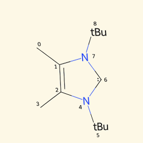 CC1=C(C)N(C(C)(C)C)[C]N1C(C)(C)C